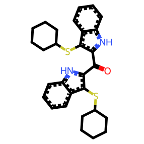 O=C(c1[nH]c2ccccc2c1SC1CCCCC1)c1[nH]c2ccccc2c1SC1CCCCC1